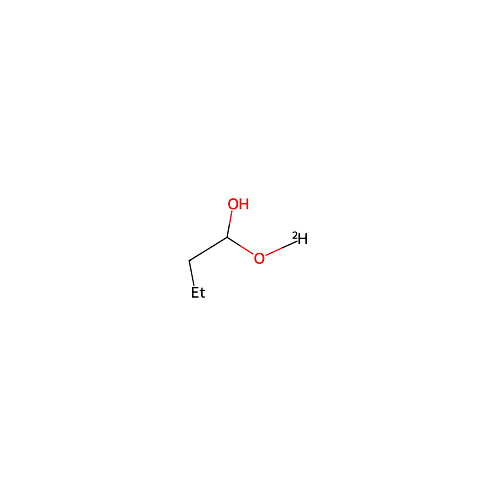 [2H]OC(O)CCC